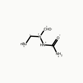 CCCCCN([C]=O)NC(N)=O